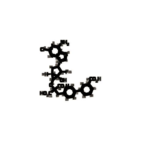 Nc1nc(Cl)nc2c1ncn2[C@@H]1C[C@@H]2C(OC(Cc3ccc(-c4cccc(C(=O)O)c4)cc3)(C(=O)O)C(=O)O)[C@]2(O)[C@@H]1F